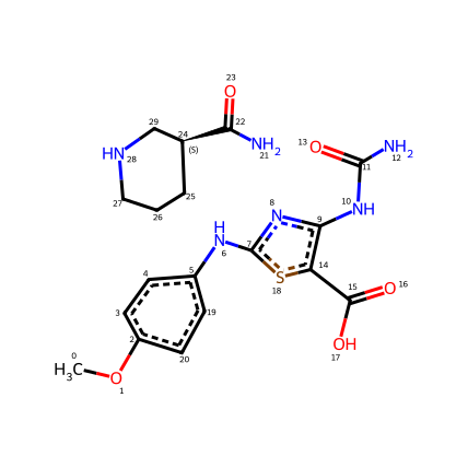 COc1ccc(Nc2nc(NC(N)=O)c(C(=O)O)s2)cc1.NC(=O)[C@H]1CCCNC1